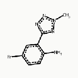 Cn1nnc(-c2cc(Br)ccc2N)n1